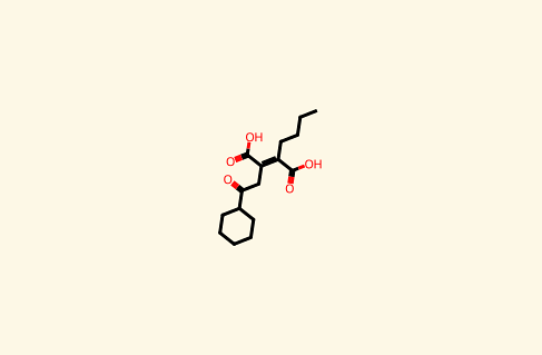 CCCCC(C(=O)O)=C(CC(=O)C1CCCCC1)C(=O)O